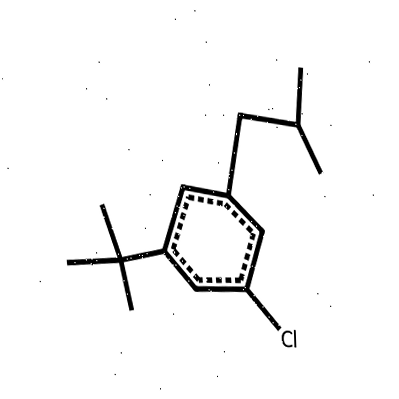 CC(C)Cc1cc(Cl)cc(C(C)(C)C)c1